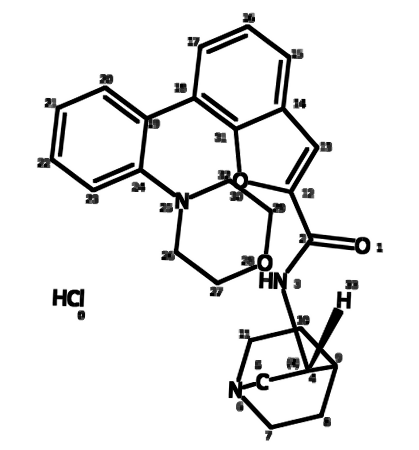 Cl.O=C(N[C@H]1CN2CCC1CC2)c1cc2cccc(-c3ccccc3N3CCOCC3)c2o1